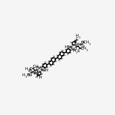 COC(=O)N[C@H](C(=O)N1C2C(C[C@H]1c1nc3ccc(-c4ccc5cc(-c6ccc7cc(-c8ccc9nc([C@@H]%10C[C@H]%11C[C@H]%11N%10C(=O)[C@@H](NC(=O)OC)C(C)C)[nH]c9c8)ccc7c6)ccc5c4)cc3[nH]1)[C@H]2C)C(C)C